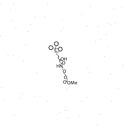 COC(=O)COCCOCCNC(=O)C[C@H](O)C=CCC(C)SC(c1ccccc1)(c1ccccc1)c1ccccc1